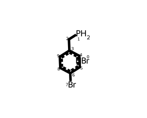 Br.PCc1ccc(Br)cc1